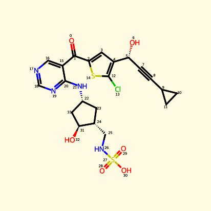 O=C(c1cc([C@H](O)C#CC2CC2)c(Cl)s1)c1cncnc1N[C@@H]1C[C@H](CNS(=O)(=O)O)[C@@H](O)C1